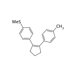 CSc1ccc(C2=C(c3ccc(C)cc3)CCC2)cc1